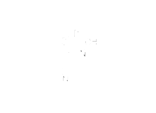 O=PO.c1cnccn1